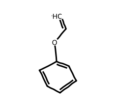 [CH]=COc1ccccc1